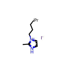 Cc1[nH]cc[n+]1CCCC(C)C.[I-]